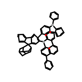 c1ccc(-c2ccc(N(c3ccccc3-c3ccccc3)c3cc4c(cc3-c3ccc5c(c3)c3ccccc3n5-c3ccccc3)-c3ccccc3C43C4CC5CC(C4)CC3C5)cc2)cc1